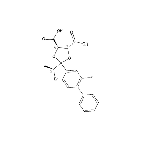 C[C@H](Br)C1(c2ccc(-c3ccccc3)c(F)c2)O[C@@H](C(=O)O)[C@H](C(=O)O)O1